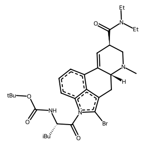 CCC(C)[C@H](NC(=O)OC(C)(C)C)C(=O)n1c(Br)c2c3c(cccc31)C1=C[C@@H](C(=O)N(CC)CC)CN(C)[C@@H]1C2